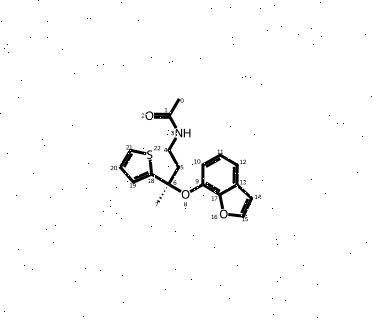 CC(=O)NCC[C@@](C)(Oc1cccc2ccoc12)c1cccs1